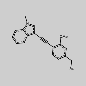 COc1cc(CC(C)=O)ccc1C#Cc1cn(C)c2ccccc12